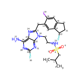 CC(C)CS(=O)(=O)NCCn1c(Cc2cc3c(cc2I)CCC3F)nc2c(N)nc(F)nc21